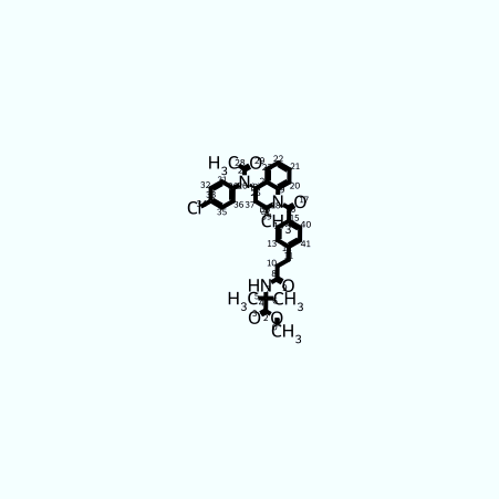 COC(=O)C(C)(C)NC(=O)CCc1ccc(C(=O)N2c3ccccc3[C@H](N(C(C)=O)c3ccc(Cl)cc3)C[C@@H]2C)cc1